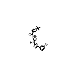 CC(C)(C)n1ccc(C(=O)NCC(=S)Nc2nc(-c3cccc(Br)c3)cs2)c1